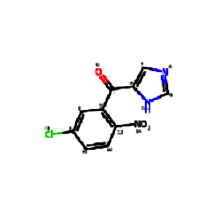 O=C(c1cnc[nH]1)c1cc(Cl)ccc1[N+](=O)[O-]